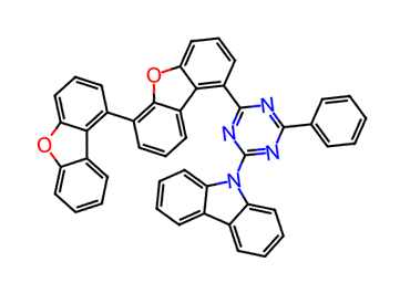 c1ccc(-c2nc(-c3cccc4oc5c(-c6cccc7oc8ccccc8c67)cccc5c34)nc(-n3c4ccccc4c4ccccc43)n2)cc1